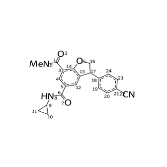 CNC(=O)c1cc(C(=O)NC2CC2)cc2c1OCC2c1ccc(C#N)cc1